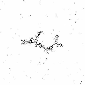 Cc1cc(CC2CN(C(=O)Oc3cnn(C)c3)CC2C(=O)c2ccc(SCOC(=O)C(C)(C)Oc3c(C)cc(CCC4CN(C(=O)Oc5ccccc5)CC4C(=O)c4ccc(Cl)s4)cc3C)cc2)cc(C)c1OC(C)(C)C(=O)O